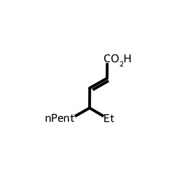 CCCCCC(C=CC(=O)O)CC